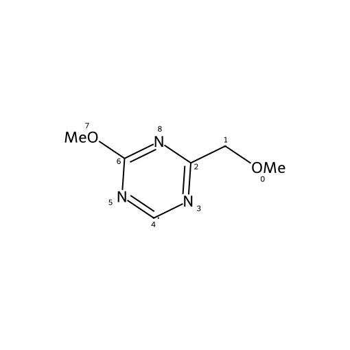 COCc1n[c]nc(OC)n1